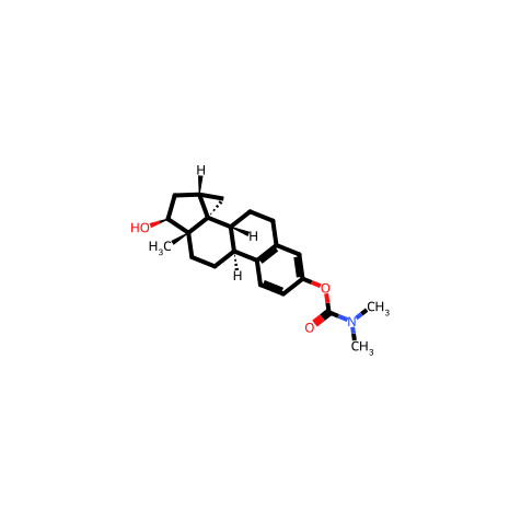 CN(C)C(=O)Oc1ccc2c(c1)CC[C@@H]1[C@@H]2CC[C@]2(C)[C@@H](O)C[C@@H]3C[C@]312